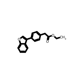 CCOC(=O)Cc1ccc(-c2coc3ccccc23)cc1